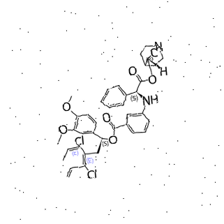 C=C/C(Cl)=C(C[C@H](OC(=O)c1cccc(N[C@H](C(=O)O[C@H]2CN3CCC2CC3)c2ccccc2)c1)c1ccc(OC)c(OC)c1)\C(Cl)=C/C